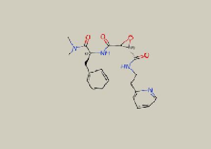 CN(C)C(=O)[C@H](Cc1ccccc1)NC(=O)C1O[C@@H]1C(=O)NCCc1ccccn1